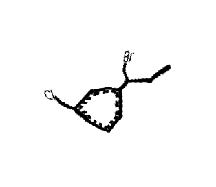 CCC(Br)c1cccc(Cl)c1